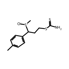 Cc1ccc(C(CCSC(N)=S)[S+](C)[O-])cc1